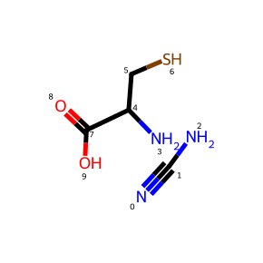 N#CN.NC(CS)C(=O)O